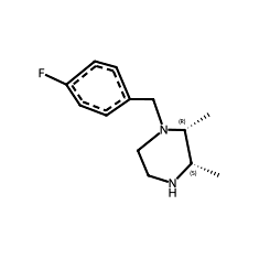 C[C@@H]1NCCN(Cc2ccc(F)cc2)[C@@H]1C